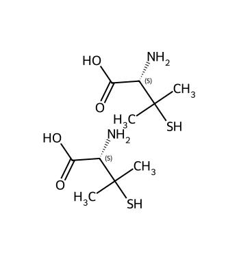 CC(C)(S)[C@@H](N)C(=O)O.CC(C)(S)[C@@H](N)C(=O)O